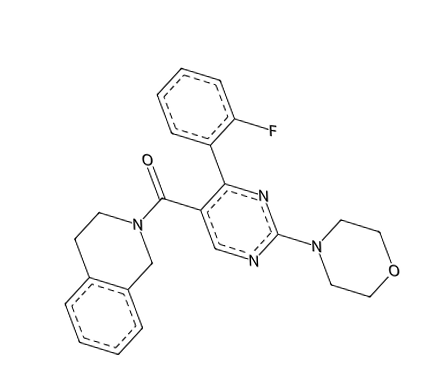 O=C(c1cnc(N2CCOCC2)nc1-c1ccccc1F)N1CCc2ccccc2C1